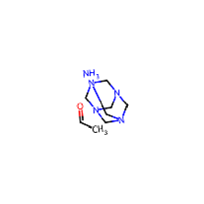 C1N2CN3CN1CN(C2)C3.CC=O.N